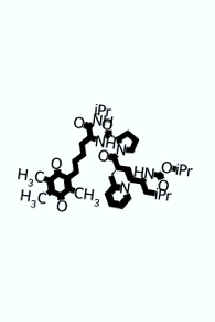 CC1=C(C)C(=O)C(CCCCC(NC(=O)[C@@H]2CCCN2C(=O)[C@H](/C=C/C(CC(C)C)NC(=O)OC(C)C)Cc2ccccn2)C(=O)NC(C)C)=C(C)C1=O